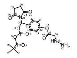 CC(C)(C)C(=O)OC(=O)OC(c1ccc(OC(=O)CNN)cc1)N1C(=O)CCC1=O